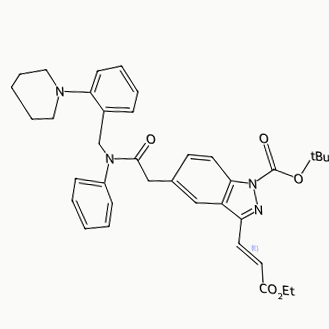 CCOC(=O)/C=C/c1nn(C(=O)OC(C)(C)C)c2ccc(CC(=O)N(Cc3ccccc3N3CCCCC3)c3ccccc3)cc12